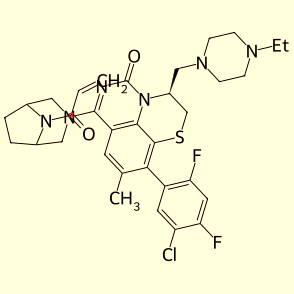 C=CC(=O)N1C2CCC1CN(c1nc(=O)n3c4c(c(-c5cc(Cl)c(F)cc5F)c(C)cc14)SC[C@@H]3CN1CCN(CC)CC1)C2